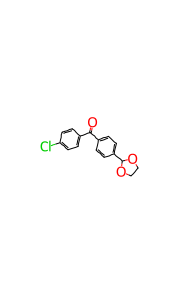 O=C(c1ccc(Cl)cc1)c1ccc(C2OCCO2)cc1